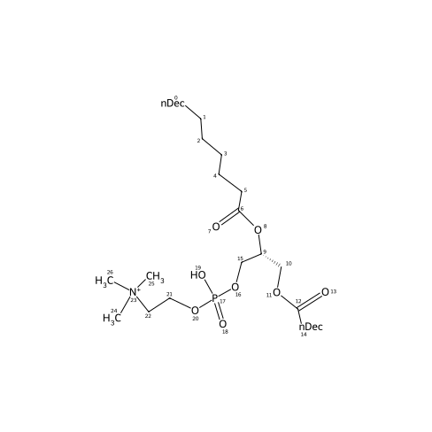 CCCCCCCCCCCCCCCC(=O)O[C@H](COC(=O)CCCCCCCCCC)COP(=O)(O)OCC[N+](C)(C)C